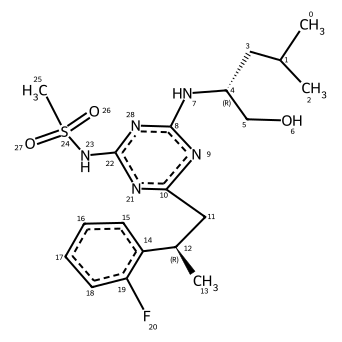 CC(C)C[C@H](CO)Nc1nc(C[C@@H](C)c2ccccc2F)nc(NS(C)(=O)=O)n1